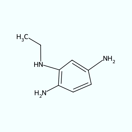 CCNc1cc(N)ccc1N